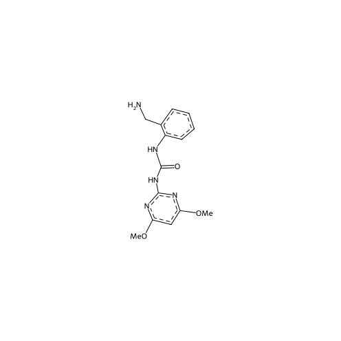 COc1cc(OC)nc(NC(=O)Nc2ccccc2CN)n1